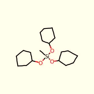 C[Si](OC1CCCCC1)(OC1CCCCC1)OC1CCCCC1